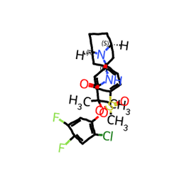 CC(C)(Oc1cc(F)c(F)cc1Cl)C(=O)N[C@H]1C[C@H]2CC[C@@H](C1)N2c1ccc(S(C)(=O)=O)cc1